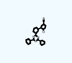 N#Cc1ccc(Cl)c(-c2cccc(-c3nc(-c4ccccc4)nc(-c4ccccc4)n3)c2)c1